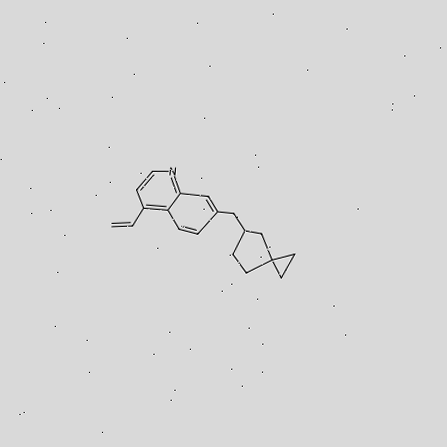 C=Cc1ccnc2cc(CC3CCC4(CC4)C3)ccc12